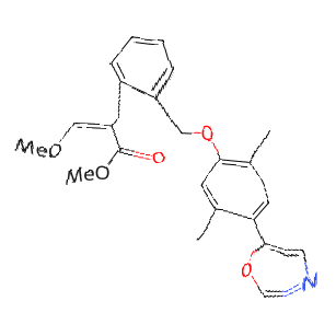 COC=C(C(=O)OC)c1ccccc1COc1cc(C)c(-c2cnco2)cc1C